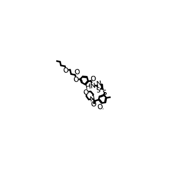 CCCCOCCC(=O)Oc1ccc(C(=O)Nc2ncc(Sc3cc(C(=O)N4CCOCC4)c(OC)cc3C)s2)cc1